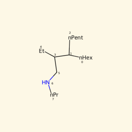 CCCCCCC(CCCCC)C(CC)CNCCC